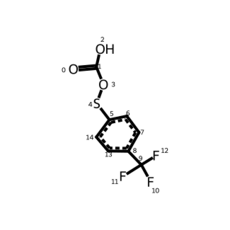 O=C(O)OSc1ccc(C(F)(F)F)cc1